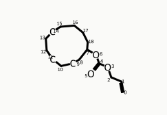 C=CCOC(=O)OC1CCCCCCCCCCC1